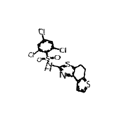 O=S(=O)(Nc1nc2c(s1)CCc1sccc1-2)c1c(Cl)cc(Cl)cc1Cl